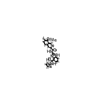 COc1c(I)ccc2cc(C(=O)Nc3nc4c(C(=O)Nc5ncc[nH]5)cccc4[nH]3)ncc12